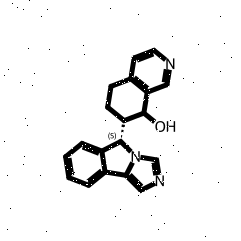 OC1c2cnccc2CCC1[C@H]1c2ccccc2-c2cncn21